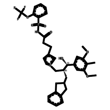 COc1cc([C@@H](O)[C@H](CC2Cc3ccccc3C2)Cn2ccc(CCC(=O)NS(=O)(=O)c3ccccc3OC(F)(F)F)c2)cc(OC)c1C